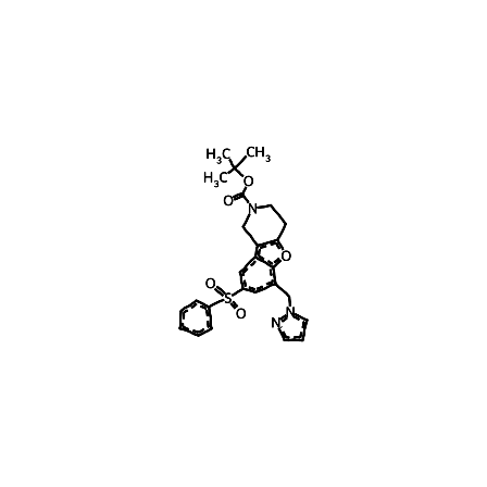 CC(C)(C)OC(=O)N1CCc2oc3c(Cn4cccn4)cc(S(=O)(=O)c4ccccc4)cc3c2C1